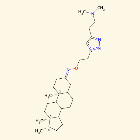 C[C@H]1CCC2C3CCC4CC(=NOCCn5cc(CCN(C)C)nn5)CC[C@]4(C)C3CC[C@@]21C